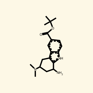 CN(C)C1Cc2c([nH]c3ccc(C(=O)OC(C)(C)C)cc23)C(N)C1